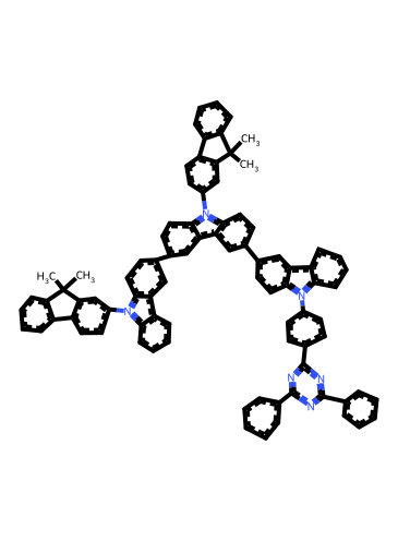 CC1(C)c2ccccc2-c2ccc(-n3c4ccccc4c4cc(-c5ccc6c(c5)c5cc(-c7ccc8c(c7)c7ccccc7n8-c7ccc(-c8nc(-c9ccccc9)nc(-c9ccccc9)n8)cc7)ccc5n6-c5ccc6c(c5)C(C)(C)c5ccccc5-6)ccc43)cc21